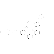 COc1nc(-c2cccc(-c3cccc(-c4cnc(CN5CC[C@H](C(=O)O)C5)c(OC)n4)c3Cl)c2Cl)ccc1CNC[C@@H]1CCC(O)N1